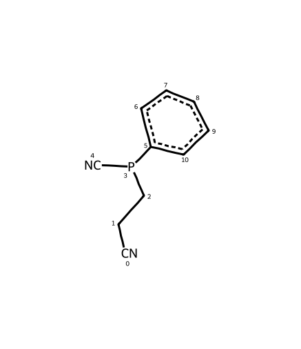 N#CCCP(C#N)c1ccccc1